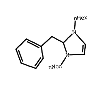 CCCCCCCCCN1C=CN(CCCCCC)C1Cc1ccccc1